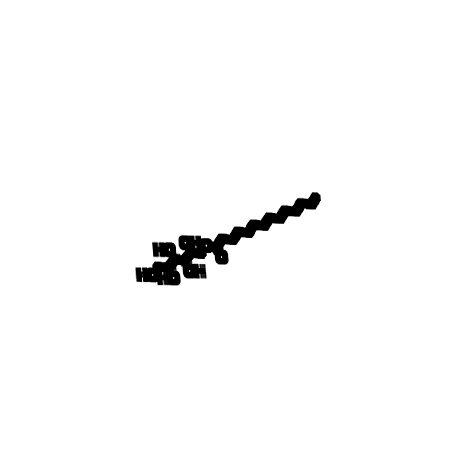 CCCCCCCCCCCCCC(=O)OC[C@@H](O)[C@@H](O)[C@H](O)[C@H](O)CO